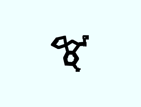 N#C/N=C1\CC2(CC=CC2)c2ccc(Br)cc21